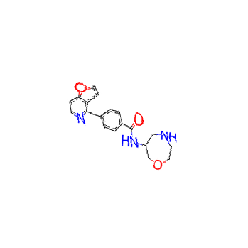 O=C(NC1CNCCOC1)c1ccc(-c2nccc3occc23)cc1